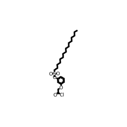 CCCCCCCCCCCCCCCCS(=O)(=O)Oc1cccc(OCC(=O)Cl)c1